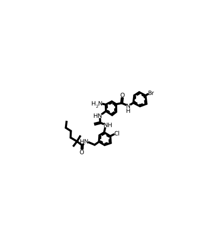 C=C(Nc1ccc(C(=O)Nc2ccc(Br)cc2)cc1N)Nc1cc(CNC(=O)C(C)(C)CCCC)ccc1Cl